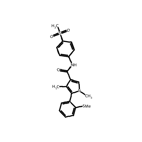 CSc1ccccc1-c1c(C)c(C(=O)Nc2ccc(S(C)(=O)=O)cc2)cn1C